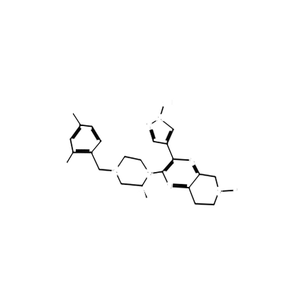 CC(=O)N1CCc2nc(N3CCN(Cc4ccc(F)cc4F)C[C@@H]3C)c(-c3cnn(C)c3)nc2C1